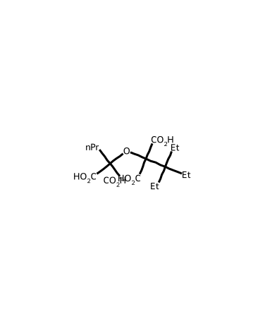 CCCC(OC(C(=O)O)(C(=O)O)C(CC)(CC)CC)(C(=O)O)C(=O)O